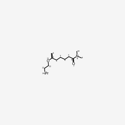 C=C(CCCCC(=O)N(C)C)OCCC(C)C